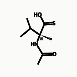 CC(=O)N[C@](C)(C(O)=S)C(C)C